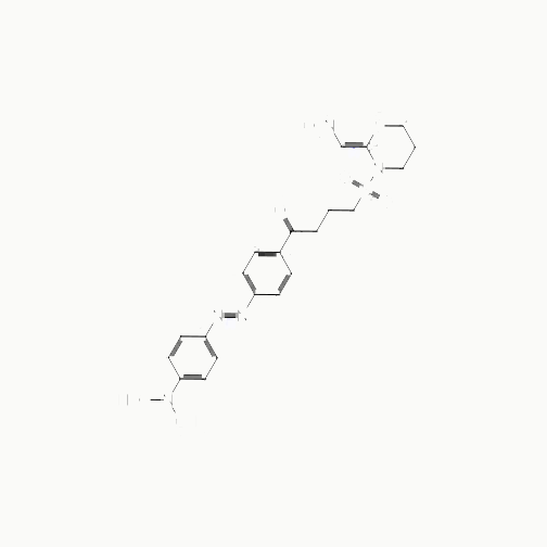 CN(C)c1ccc(/N=N/c2ccc(C(=O)CCCS(=O)(=O)N3CCCS/C3=C\[N+](=O)[O-])cc2)cc1